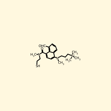 CN(CCS)C(=O)c1ccc(N(C)CCC[N+](C)(C)C)c2cccc(C=O)c12